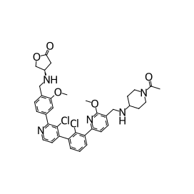 COc1cc(-c2nccc(-c3cccc(-c4ccc(CNC5CCN(C(C)=O)CC5)c(OC)n4)c3Cl)c2Cl)ccc1CN[C@H]1COC(=O)C1